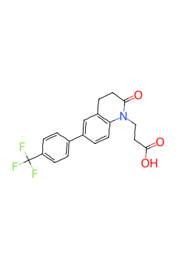 O=C(O)CCN1C(=O)CCc2cc(-c3ccc(C(F)(F)F)cc3)ccc21